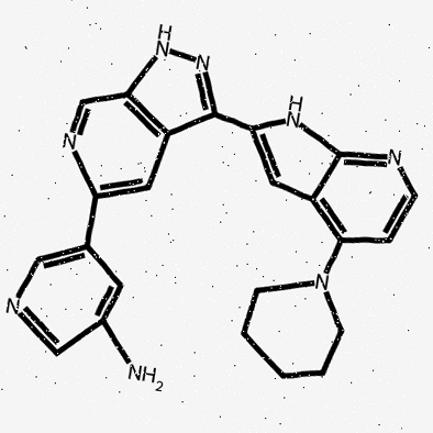 Nc1cncc(-c2cc3c(-c4cc5c(N6CCCCC6)ccnc5[nH]4)n[nH]c3cn2)c1